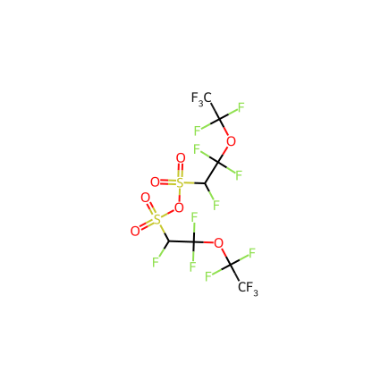 O=S(=O)(OS(=O)(=O)C(F)C(F)(F)OC(F)(F)C(F)(F)F)C(F)C(F)(F)OC(F)(F)C(F)(F)F